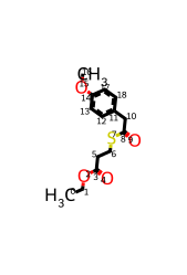 CCOC(=O)CCSC(=O)Cc1ccc(OC)cc1